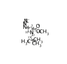 COC(=O)[C@@H]1C[C@H](N=[N+]=[N-])CN1CCC(C)(C)C